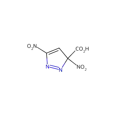 O=C(O)C1([N+](=O)[O-])C=C([N+](=O)[O-])N=N1